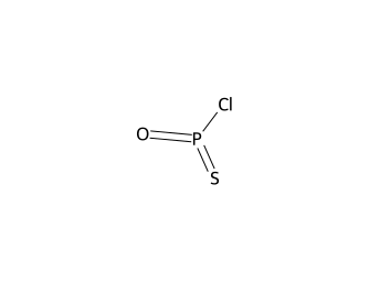 O=P(=S)Cl